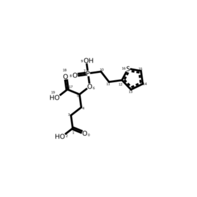 O=C(O)CCC(OP(=O)(O)CCc1cccs1)C(=O)O